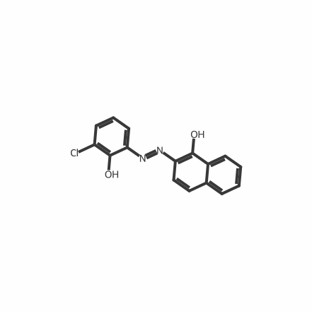 Oc1c(Cl)cccc1/N=N/c1ccc2ccccc2c1O